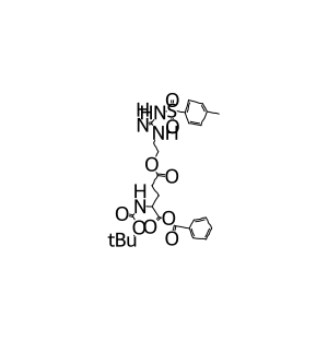 Cc1ccc(S(=O)(=O)NC(=N)NCCOC(=O)CCC(NC(=O)OC(C)(C)C)C(=O)OC(=O)c2ccccc2)cc1